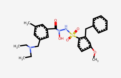 CCN(CC)Cc1cc(C)cc(C(=O)N(O)NS(=O)(=O)c2ccc(OC)cc2Cc2ccccc2)c1